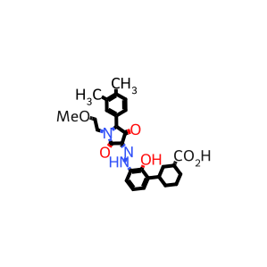 COCCN1C(=O)C(=NNc2cccc(C3CCCC(C(=O)O)C3)c2O)C(=O)C1c1ccc(C)c(C)c1